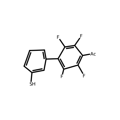 CC(=O)c1c(F)c(F)c(-c2cccc(S)c2)c(F)c1F